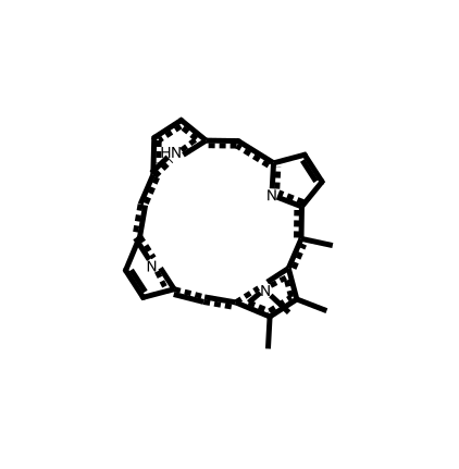 Cc1c(C)c2c(C)c3nc(cc4ccc(cc5nc(cc1n2C)C=C5)[nH]4)C=C3